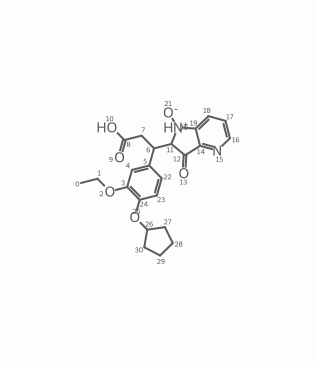 CCOc1cc(C(CC(=O)O)C2C(=O)c3ncccc3[NH+]2[O-])ccc1OC1CCCC1